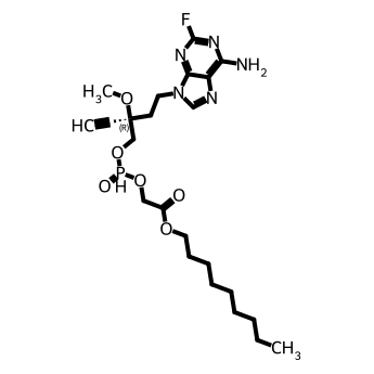 C#C[C@](CCn1cnc2c(N)nc(F)nc21)(CO[PH](=O)OCC(=O)OCCCCCCCCC)OC